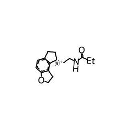 CCC(=O)NCC[C@H]1CCc2ccc3c(c21)CCO3